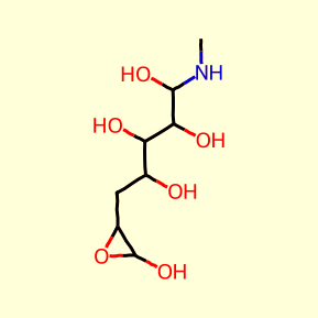 CNC(O)C(O)C(O)C(O)CC1OC1O